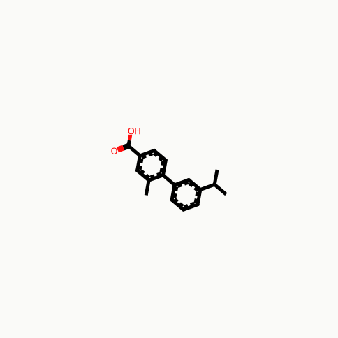 Cc1cc(C(=O)O)ccc1-c1cccc(C(C)C)c1